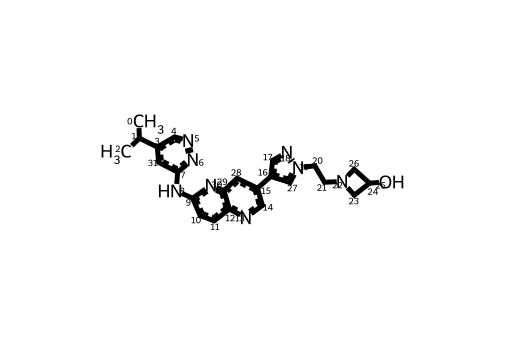 CC(C)c1cnnc(Nc2ccc3ncc(-c4cnn(CCN5CC(O)C5)c4)cc3n2)c1